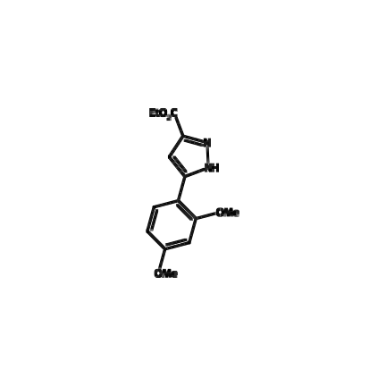 CCOC(=O)c1cc(-c2ccc(OC)cc2OC)[nH]n1